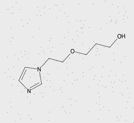 OCCCOCCn1ccnc1